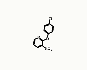 O=[N+]([O-])c1cccnc1Oc1ccc(Cl)cc1